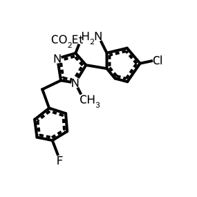 CCOC(=O)c1nc(Cc2ccc(F)cc2)n(C)c1-c1ccc(Cl)cc1N